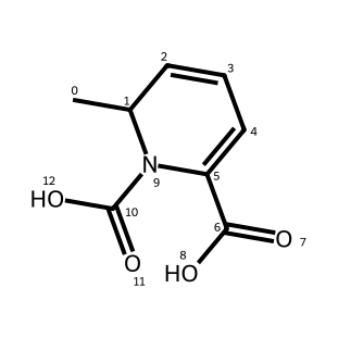 CC1C=CC=C(C(=O)O)N1C(=O)O